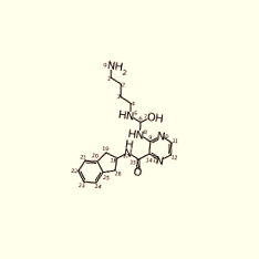 NCCCCNC(O)Nc1nccnc1C(=O)NC1Cc2ccccc2C1